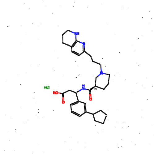 Cl.O=C(O)CC(NC(=O)[C@@H]1CCCN(CCCc2ccc3c(n2)NCCC3)C1)c1cccc(C2CCCC2)c1